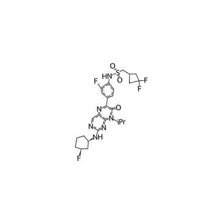 CC(C)n1c(=O)c(-c2ccc(NS(=O)(=O)CC3CC(F)(F)C3)c(F)c2)nc2cnc(N[C@@H]3CCC[C@H](F)C3)nc21